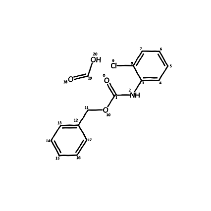 O=C(Nc1ccccc1Cl)OCc1ccccc1.O=CO